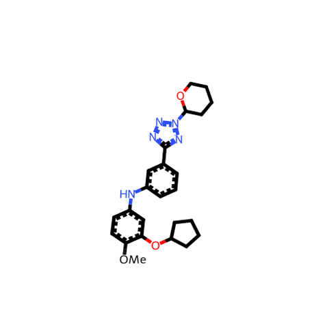 COc1ccc(Nc2cccc(-c3nnn(C4CCCCO4)n3)c2)cc1OC1CCCC1